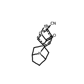 CC(C)(C)OC(=O)N1CC2CCC(C1)N2c1ccc(C#N)cc1